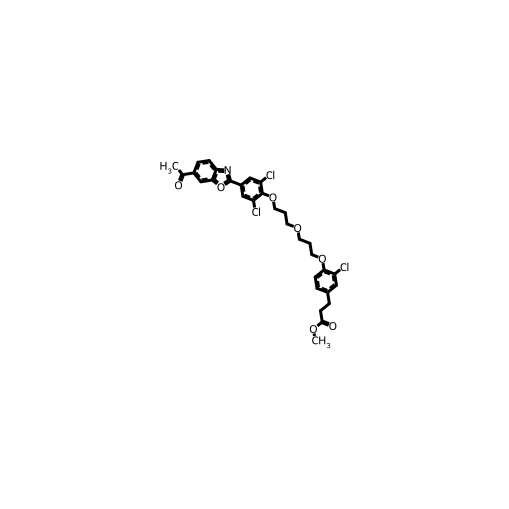 COC(=O)CCc1ccc(OCCCOCCCOc2c(Cl)cc(-c3nc4ccc(C(C)=O)cc4o3)cc2Cl)c(Cl)c1